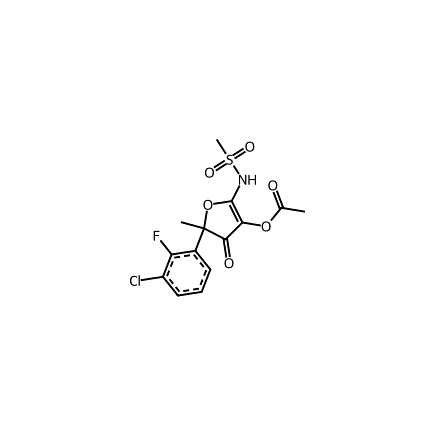 CC(=O)OC1=C(NS(C)(=O)=O)OC(C)(c2cccc(Cl)c2F)C1=O